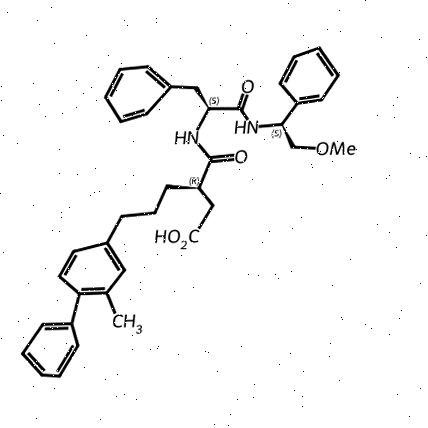 COC[C@@H](NC(=O)[C@H](Cc1ccccc1)NC(=O)[C@H](CCCc1ccc(-c2ccccc2)c(C)c1)CC(=O)O)c1ccccc1